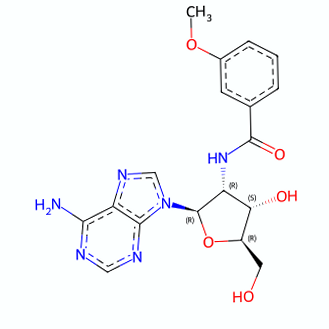 COc1cccc(C(=O)N[C@@H]2[C@H](O)[C@@H](CO)O[C@H]2n2cnc3c(N)ncnc32)c1